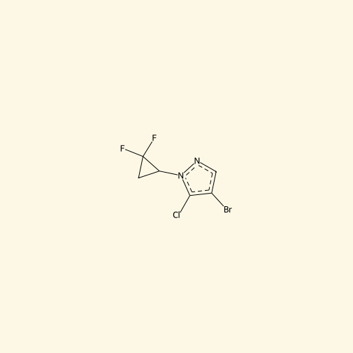 FC1(F)CC1n1ncc(Br)c1Cl